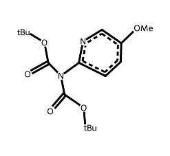 COc1ccc(N(C(=O)OC(C)(C)C)C(=O)OC(C)(C)C)nc1